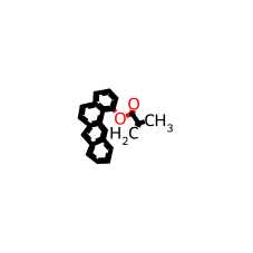 C=C(C)C(=O)Oc1cccc2ccc3cc4ccccc4cc3c12